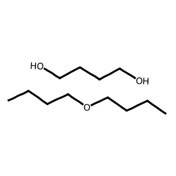 CCCCOCCCC.OCCCCO